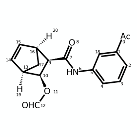 CC(=O)c1cccc(NC(=O)[C@H]2[C@@H](OC=O)[C@H]3C=C[C@@H]2C3)c1